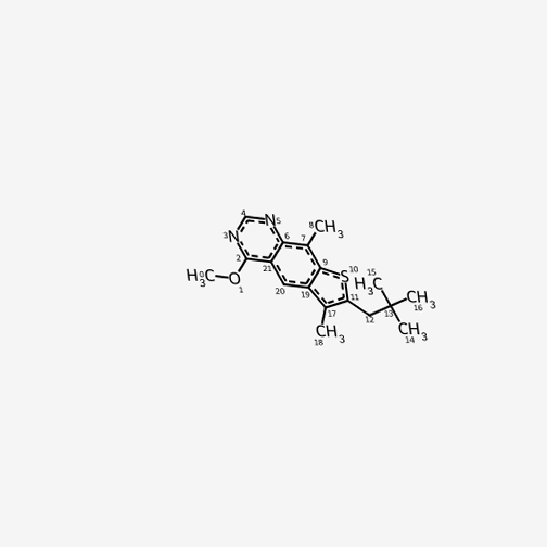 COc1ncnc2c(C)c3sc(CC(C)(C)C)c(C)c3cc12